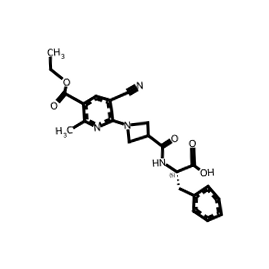 CCOC(=O)c1cc(C#N)c(N2CC(C(=O)N[C@@H](Cc3ccccc3)C(=O)O)C2)nc1C